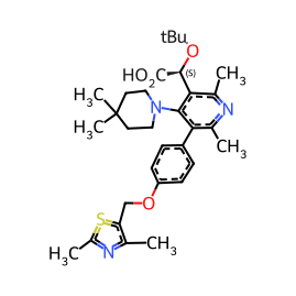 Cc1nc(C)c(COc2ccc(-c3c(C)nc(C)c([C@H](OC(C)(C)C)C(=O)O)c3N3CCC(C)(C)CC3)cc2)s1